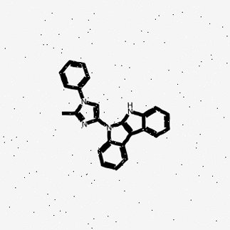 Cc1nc(-n2c3ccccc3c3c4ccccc4[nH]c32)cn1-c1ccccc1